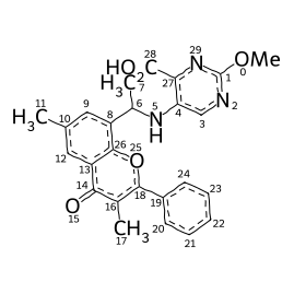 COc1ncc(NC(C)c2cc(C)cc3c(=O)c(C)c(-c4ccccc4)oc23)c(C(=O)O)n1